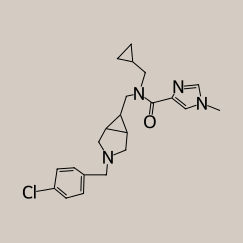 Cn1cnc(C(=O)N(CC2CC2)CC2C3CN(Cc4ccc(Cl)cc4)CC32)c1